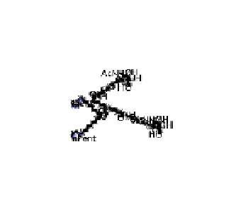 CCCCC/C=C\C/C=C\CCCCCCCCC1(CCCCCCCC/C=C\C/C=C\CCCCC)OC[C@H](N(CCCCCC(=O)NCCOCCOCCO[C@@H]2OC(CO)[C@H](O)[C@H](O)C2NC(C)=O)CCCCCC(=O)NCCOCCOCCO[C@@H]2OC(CO)[C@H](O)[C@H](O)C2NC(C)=O)O1